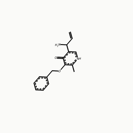 C=CC(N)c1c[nH]c(C)c(OCc2ccccc2)c1=O